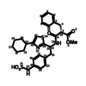 COC(=O)[C@@H](Cc1ccccc1)C(=O)N[C@@H](Cc1ccc(NS(=O)(=O)O)cc1)c1nc(C2CCCCC2)cs1